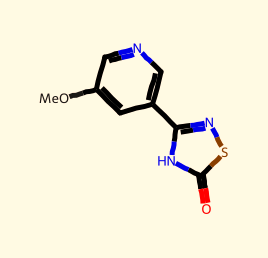 COc1cncc(-c2nsc(=O)[nH]2)c1